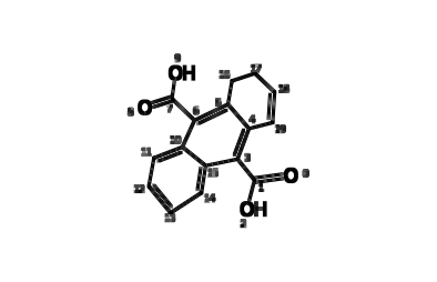 O=C(O)c1c2c(c(C(=O)O)c3ccccc13)CCC=C2